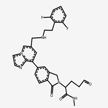 CNC(=O)C(CCC=O)N1Cc2cc(-c3cc(CNCCc4c(F)cccc4F)cn4ccnc34)ccc2C1=O